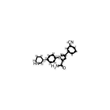 N#Cc1cccc(-c2cc(C(N)=O)n(-c3ccc([C@@H]4CCCNC4)cc3)n2)c1